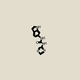 O=C(Nc1ccc2cc[nH]c2c1)Nc1cnccn1